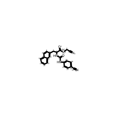 N#CCNC(=O)C(Cc1ccc2ccccc2c1)NC(=O)Nc1ccc(C#N)cc1